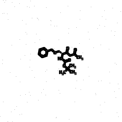 CC(=O)CC(=O)[C@@H](COCc1ccccc1)NC(=O)OC(C)(C)C